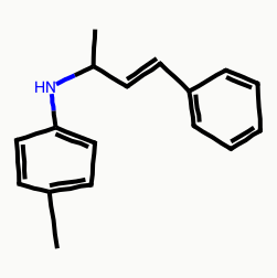 Cc1ccc(NC(C)C=Cc2ccccc2)cc1